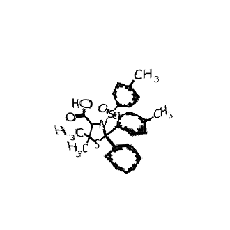 Cc1ccc(C2(c3ccccc3)SC(C)(C)C(C(=O)O)N2S(=O)(=O)c2ccc(C)cc2)cc1